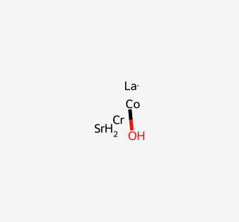 [Cr].[La].[OH][Co].[SrH2]